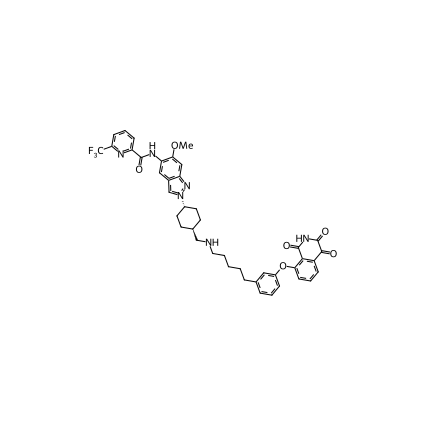 COc1cc2nn([C@H]3CC[C@H](CNCCCCCc4cccc(Oc5cccc6c5C(=O)NC(=O)C6=O)c4)CC3)cc2cc1NC(=O)c1cccc(C(F)(F)F)n1